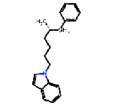 C[C@@H](CCCCn1ccc2ccccc21)[SiH2]c1ccccc1